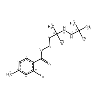 Cc1ccc(C(=O)OCCC(C)(C#N)NNC(C)(C)C#N)c(F)c1